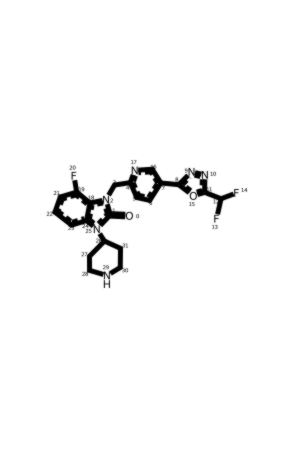 O=c1n(Cc2ccc(-c3nnc(C(F)F)o3)cn2)c2c(F)cccc2n1C1CCNCC1